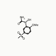 COc1ccc(S(C)(=O)=O)cc1N(S)C(N)=O